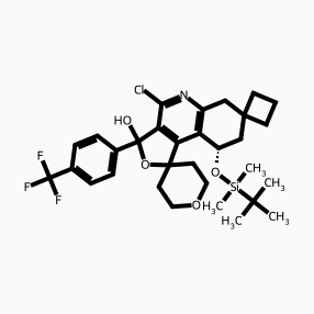 CC(C)(C)[Si](C)(C)O[C@H]1CC2(CCC2)Cc2nc(Cl)c3c(c21)C1(CCOCC1)OC3(O)c1ccc(C(F)(F)F)cc1